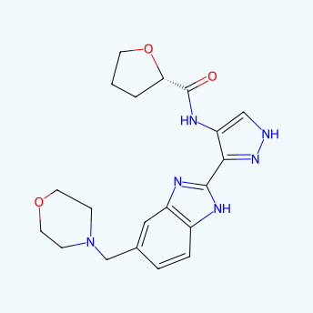 O=C(Nc1c[nH]nc1-c1nc2cc(CN3CCOCC3)ccc2[nH]1)[C@@H]1CCCO1